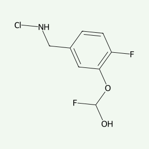 OC(F)Oc1cc(CNCl)ccc1F